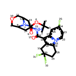 CC(C)(C)OC(=O)N1C2COCC1CC(NC(=O)c1c3c(n4ccc(F)cc14)CCC(F)(F)C3)C2